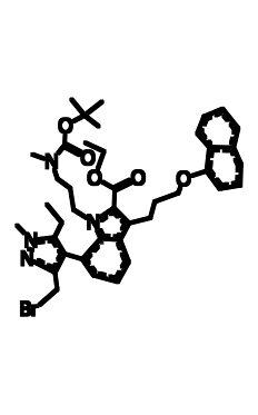 CCOC(=O)c1c(CCCOc2cccc3ccccc23)c2cccc(-c3c(CBr)nn(C)c3CC)c2n1CCCN(C)C(=O)OC(C)(C)C